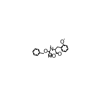 COc1ccccc1CC(C(=O)O)N(C)C(=O)OCc1ccccc1